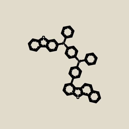 c1ccc(N(c2ccc(-c3cccc4oc5c6ccccc6ccc5c34)cc2)c2ccc(N(c3ccccc3)c3ccc4c(c3)oc3ccccc34)cc2)cc1